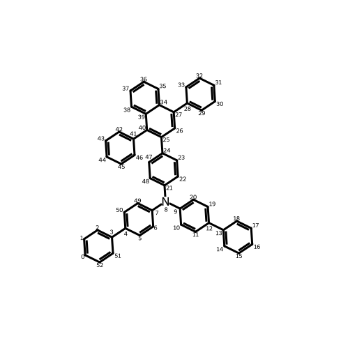 c1ccc(-c2ccc(N(c3ccc(-c4ccccc4)cc3)c3ccc(-c4cc(-c5ccccc5)c5ccccc5c4-c4ccccc4)cc3)cc2)cc1